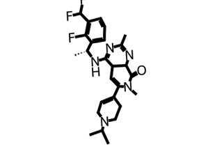 CC1=NC2C(=O)N(C)C(C3=CCN(C(C)C)CC3)=CC2C(N[C@H](C)c2cccc(C(F)F)c2F)=N1